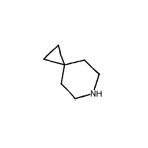 [CH]1CC2(CCN1)CC2